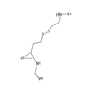 CCNCCSSCCC1OC1NCC(C)C